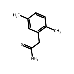 Cc1ccc(C)c(CC(N)=S)c1